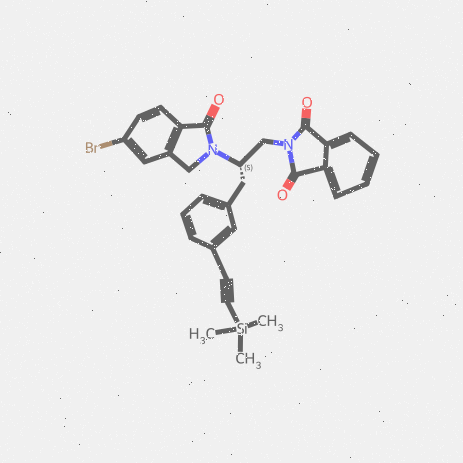 C[Si](C)(C)C#Cc1cccc(C[C@@H](CN2C(=O)c3ccccc3C2=O)N2Cc3cc(Br)ccc3C2=O)c1